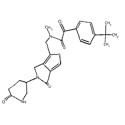 CN(Cc1scc2c1CN(C1CCC(=O)NC1)C2=O)C(=O)C(=O)c1ccc(C(C)(C)C)cc1